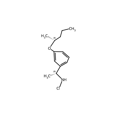 CCC[C@@H](C)Oc1cccc([C@@H](C)NCl)c1